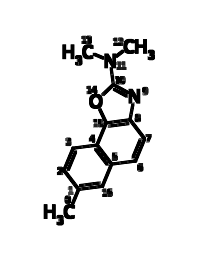 Cc1ccc2c(ccc3nc(N(C)C)oc32)c1